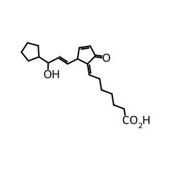 O=C(O)CCCCC/C=C1\C(=O)C=CC1/C=C/C(O)C1CCCC1